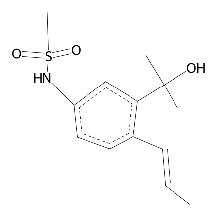 C/C=C/c1ccc(NS(C)(=O)=O)cc1C(C)(C)O